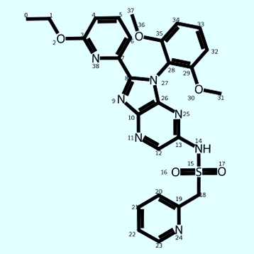 CCOc1cccc(-c2nc3ncc(NS(=O)(=O)Cc4ccccn4)nc3n2-c2c(OC)cccc2OC)n1